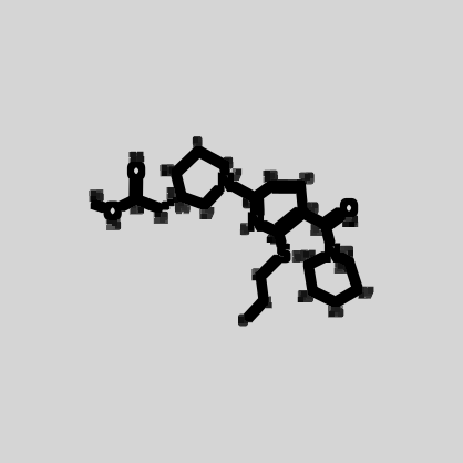 CCCSc1nc(N2CCC[C@@H](CC(=O)OC)C2)ccc1C(=O)N1CCCCC1